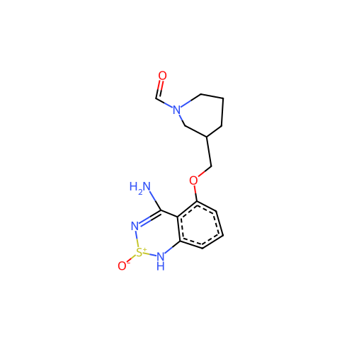 NC1=N[S+]([O-])Nc2cccc(OCC3CCCN(C=O)C3)c21